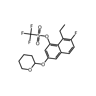 CCc1c(F)ccc2cc(OC3CCCCO3)cc(OS(=O)(=O)C(F)(F)F)c12